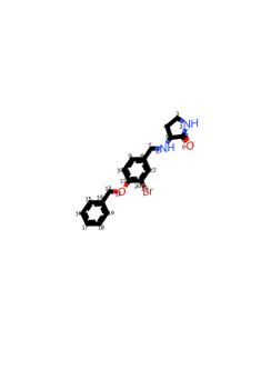 O=C1NCCC1NCc1ccc(OCc2ccccc2)c(Br)c1